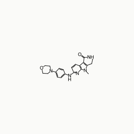 Cn1c2c(c3ccc(Nc4ccc(N5CCOCC5)cc4)nc31)C(=O)NCC2